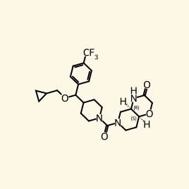 O=C1CO[C@H]2CCN(C(=O)N3CCC(C(OCC4CC4)c4ccc(C(F)(F)F)cc4)CC3)C[C@H]2N1